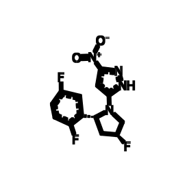 O=[N+]([O-])c1cc(N2C[C@@H](F)C[C@@H]2c2cc(F)ccc2F)[nH]n1